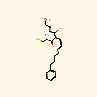 N[C@@H](CS)C(=O)C(/C=C\CCCCCc1ccccc1)C(O)CCCC(=O)O